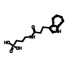 O=C(CCc1c[nH]c2ccccc12)NCCCP(=O)(O)O